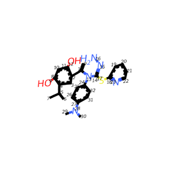 C=C(c1cc(C(C)C)c(O)cc1O)N(/C(=N\N)Sc1ccccn1)c1ccc(N(C)C)cc1